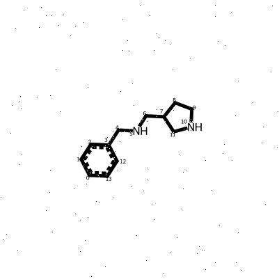 c1ccc(CNCC2CCNC2)cc1